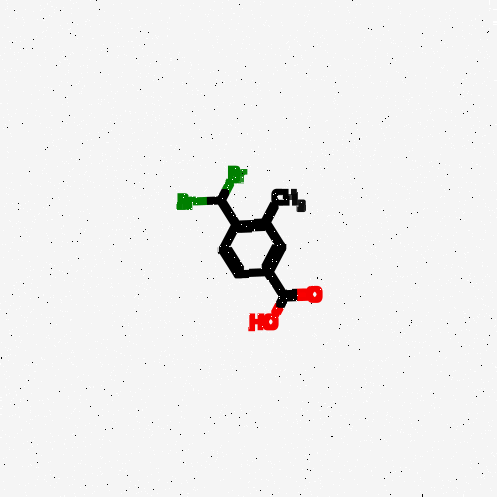 Cc1cc(C(=O)O)ccc1C(Br)Br